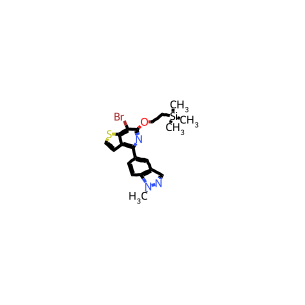 Cn1ncc2cc(-c3nc(OCC[Si](C)(C)C)c(Br)c4sccc34)ccc21